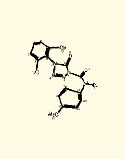 CCN(C(=O)n1nnn(-c2c(O)cccc2Cl)c1=O)c1ccc(OC)cc1